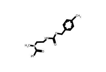 Cc1ccc(COC(=O)NCCN(C)C(=O)C(C)C)cc1